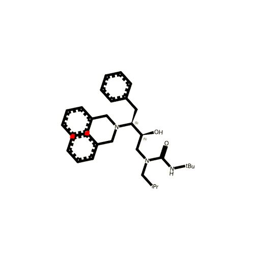 CC(C)CN(C[C@H](O)[C@H](Cc1ccccc1)N(Cc1ccccc1)Cc1ccccc1)C(=O)NC(C)(C)C